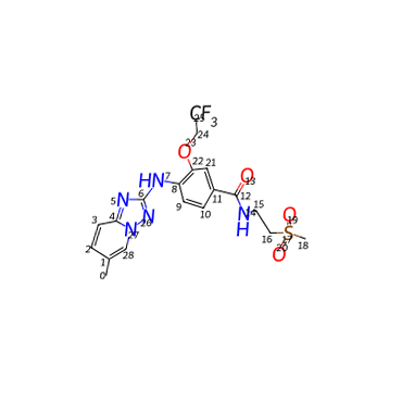 Cc1ccc2nc(Nc3ccc(C(=O)NCCS(C)(=O)=O)cc3OCC(F)(F)F)nn2c1